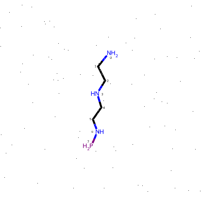 NCCNCCNP